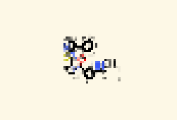 CNC(C)c1cccc(C(=O)N2CCCC2c2nc3c(-c4ccccc4)ccnc3s2)c1